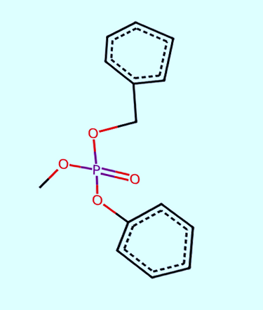 COP(=O)(OCc1ccccc1)Oc1ccccc1